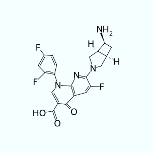 N[C@H]1C[C@H]2CN(c3nc4c(cc3F)c(=O)c(C(=O)O)cn4-c3ccc(F)cc3F)C[C@H]21